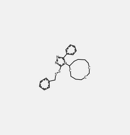 c1ccc(CSSc2nnc(-c3ccccc3)n2C2CCCCCCCCCCC2)cc1